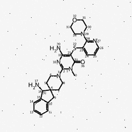 Cn1c(N2CCC3(CC2)Cc2ccccc2[C@H]3N)nc(N)c(Sc2cccnc2N2CCOCC2)c1=O